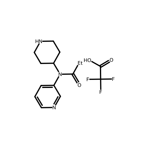 CCC(=O)N(c1cccnc1)C1CCNCC1.O=C(O)C(F)(F)F